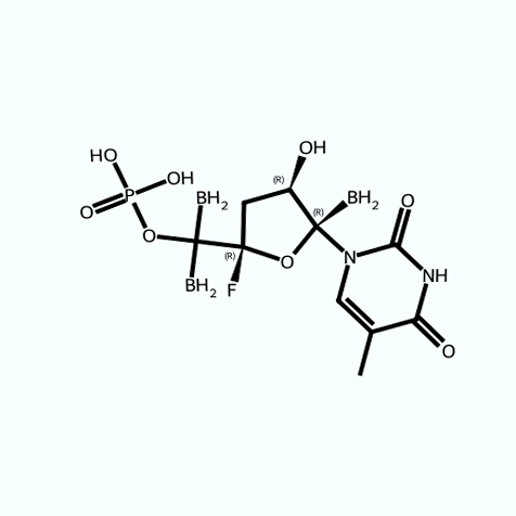 BC(B)(OP(=O)(O)O)[C@]1(F)C[C@@H](O)[C@](B)(n2cc(C)c(=O)[nH]c2=O)O1